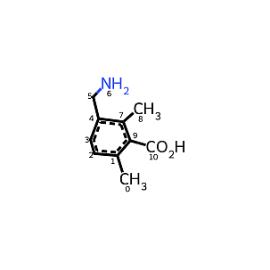 Cc1ccc(CN)c(C)c1C(=O)O